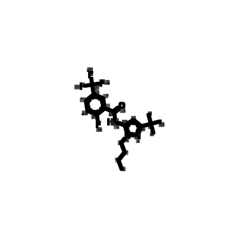 CCCCn1nc(C(C)(C)C)cc1NC(=O)c1cc(C(F)(F)F)ccc1F